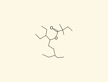 CCC(CC)CCC(OC(=O)C(C)(C)CC)C(CC)CC